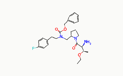 CCO[C@H](C)[C@H](N)C(=O)N1CCCC1CN(CCc1ccc(F)cc1)C(=O)OCc1ccccc1